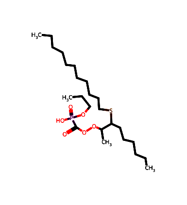 CCCCCCCCCCCSC(CCCCCC)C(C)OOC(=O)P(=O)(O)OCCC